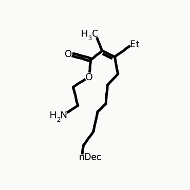 CCCCCCCCCCCCCCCCC(CC)=C(C)C(=O)OCCN